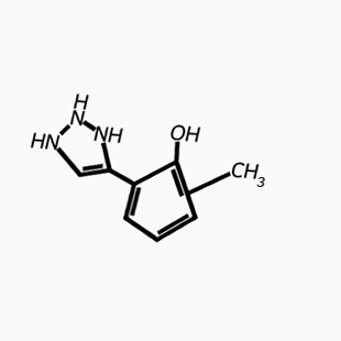 Cc1cccc(C2=CNNN2)c1O